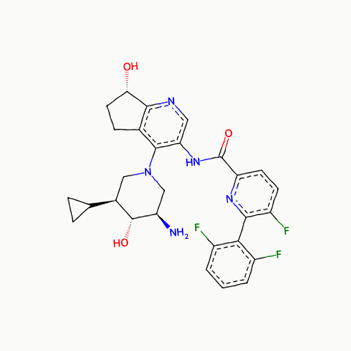 N[C@@H]1CN(c2c(NC(=O)c3ccc(F)c(-c4c(F)cccc4F)n3)cnc3c2CC[C@@H]3O)C[C@H](C2CC2)[C@H]1O